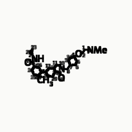 CNCCOc1ccc(Cn2ccc3cc(-c4cc(C(=O)NC5CC5)ccc4C)ccc3c2=O)cc1